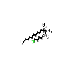 CCCCCCCCCCC(C)(C)C.CCCCCCl